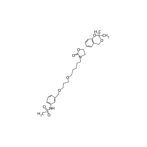 CC1(C)OCc2cc([C@@H]3CN(CCCCCOCCCOCc4cccc(NS(C)(=O)=O)c4)C(=O)O3)ccc2O1